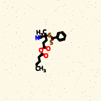 CCCCC(=O)OC(=O)CCC(C)(C#N)SC(=S)c1ccccc1